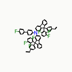 C=Cc1ccc(C2(c3c(F)ccc(F)c3F)c3ccccc3-c3ccc(N(c4ccc(-c5ccc(F)cc5)cc4)c4ccc5c(c4)C(c4ccc(C=C)cc4)(c4c(F)ccc(F)c4F)c4ccccc4-5)cc32)cc1